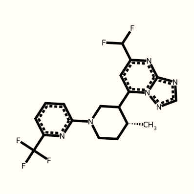 C[C@@H]1CCN(c2cccc(C(F)(F)F)n2)CC1c1cc(C(F)F)nc2ncnn12